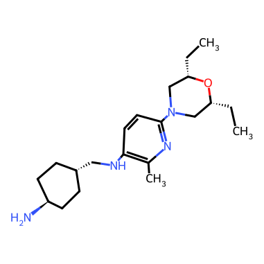 CC[C@@H]1CN(c2ccc(NC[C@H]3CC[C@H](N)CC3)c(C)n2)C[C@H](CC)O1